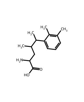 Cc1cccc(C(C)C(C)CC(N)C(=O)O)c1C